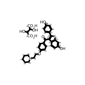 O=C(O)C(O)C(O)C(=O)O.O=C(c1ccc(OCCN2CCCCC2)cc1)c1c(-c2ccc(O)cc2)sc2cc(O)ccc12